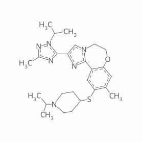 Cc1nc(-c2cn3c(n2)-c2cc(SC4CCN(C(C)C)CC4)c(C)cc2OCC3)n(C(C)C)n1